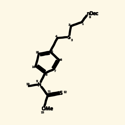 CCCCCCCCCCCCSCc1ccc(N(C)C(=S)OC)cc1